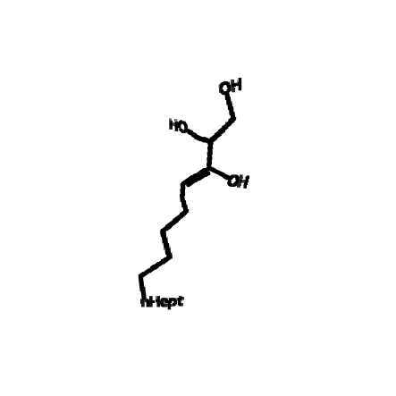 CCCCCCCCCCCC=C(O)C(O)CO